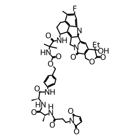 CC[C@@]1(O)C(=O)OCc2c1cc1n(c2=O)Cc2c-1nc1cc(F)c(C)c3c1c2[C@@H](NC(=O)C(C)(C)NC(=O)OCc1ccc(NC(=O)[C@H](C)NC(=O)[C@H](C)NC(=O)CCN2C(=O)C=CC2=O)cc1)CC3